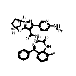 CC(C)Nc1ccc(-c2nn3c(c2C(=O)N[C@H]2N=C(c4ccccc4)c4cccc(F)c4NC2=O)O[C@H]2CC[C@@H]3C2)cn1